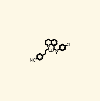 CN(C(=O)c1cccc2c1N(C(=O)CCc1ccc(C#N)cc1)CCC2)c1ccc(Cl)cc1